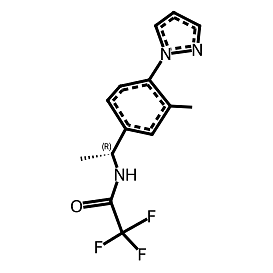 Cc1cc([C@@H](C)NC(=O)C(F)(F)F)ccc1-n1cccn1